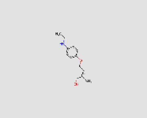 CCNc1ccc(OC/C=C(/C)CO)cc1